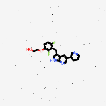 OCCOc1ccc(F)c(Cc2c[nH]c3ncc(-c4cccnc4)cc23)c1F